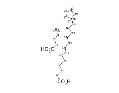 CC(=O)CCCC(=O)O.O=C(O)CCCCCCCCCCCC[C@@H]1C=CCC1